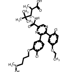 CCOc1ccc(Cl)c(-c2ncc(C(=O)N[C@@H](C(C)C(=O)O)C(C)(C)C)nc2-c2ccc(Cl)c(OCCCN(C)C)c2)c1